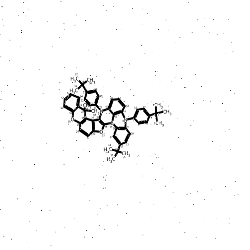 CC(C)(C)c1ccc(N2c3ccc(C(C)(C)C)cc3B3c4oc5ccc6c(c5c4N(c4ccc(C(C)(C)C)cc4)c4cccc2c43)C(C)(C)c2ccccc2O6)cc1